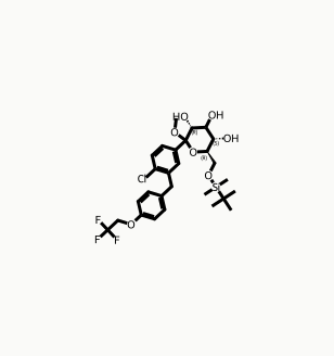 COC1(c2ccc(Cl)c(Cc3ccc(OCC(F)(F)F)cc3)c2)O[C@H](CO[Si](C)(C)C(C)(C)C)[C@@H](O)C(O)[C@H]1O